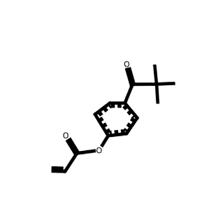 C=CC(=O)Oc1ccc(C(=O)C(C)(C)C)cc1